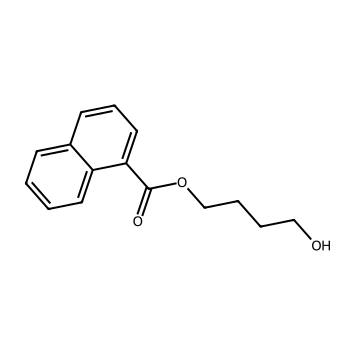 O=C(OCCCCO)c1cccc2ccccc12